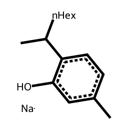 CCCCCCC(C)c1ccc(C)cc1O.[Na]